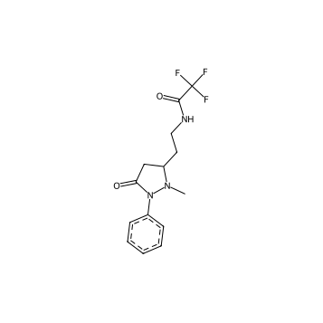 CN1C(CCNC(=O)C(F)(F)F)CC(=O)N1c1ccccc1